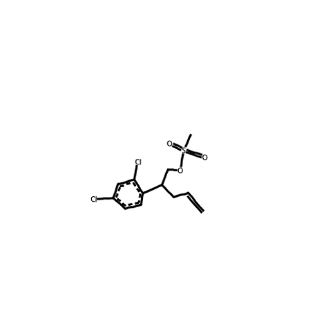 C=CCC(COS(C)(=O)=O)c1ccc(Cl)cc1Cl